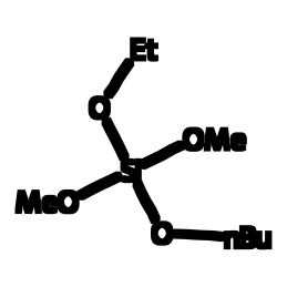 CCCCO[Si](OC)(OC)OCC